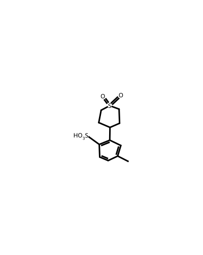 Cc1ccc(S(=O)(=O)O)c(C2CCS(=O)(=O)CC2)c1